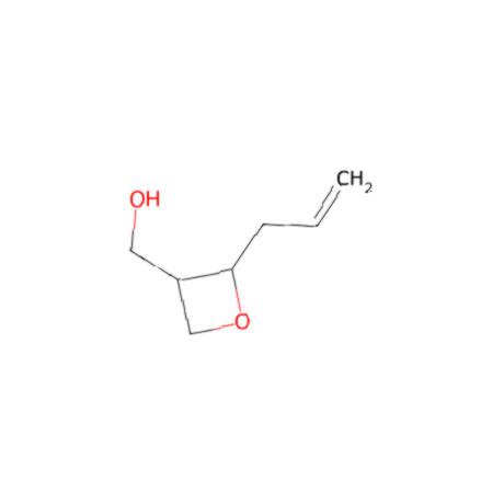 C=CCC1OCC1CO